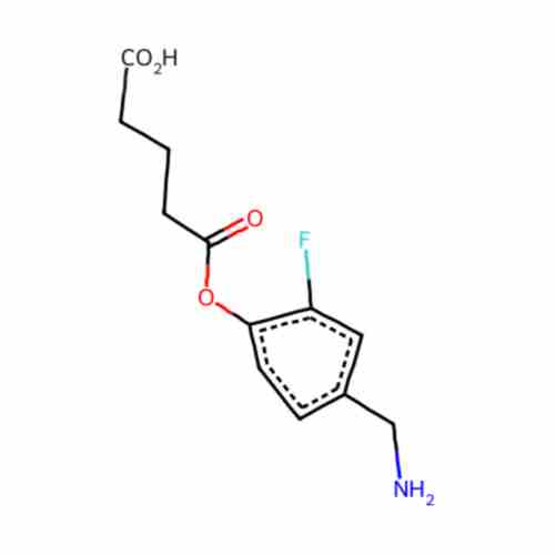 NCc1ccc(OC(=O)CCCC(=O)O)c(F)c1